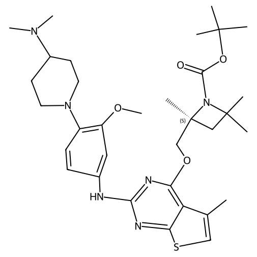 COc1cc(Nc2nc(OC[C@]3(C)CC(C)(C)N3C(=O)OC(C)(C)C)c3c(C)csc3n2)ccc1N1CCC(N(C)C)CC1